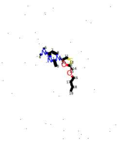 C=C1N=C(N(C)C)C=CN1[C@H]1CS[C@@H](COCCCC)O1